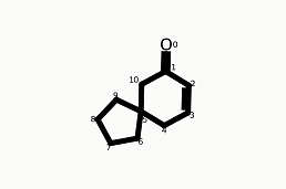 O=C1C=CCC2(CCCC2)C1